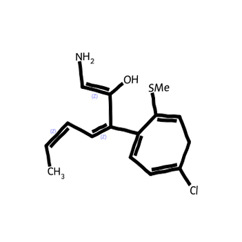 C\C=C/C=C(C1=CC=C(Cl)CC=C1SC)\C(O)=C\N